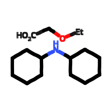 C1CCC(NC2CCCCC2)CC1.CCOCC(=O)O